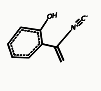 [C-]#[N+]C(=C)c1ccccc1O